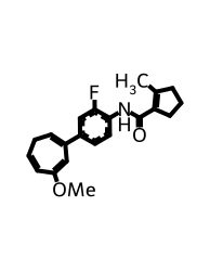 COC1=CC(c2ccc(NC(=O)C3=C(C)CCC3)c(F)c2)=CCC=C1